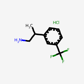 CC(CN)c1cccc(C(F)(F)F)c1.Cl